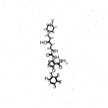 Cc1cc(F)c(COc2nsc(NC(=O)NCCC(O)CCN3CCN(C)CC3)c2C(N)=O)c(F)c1F